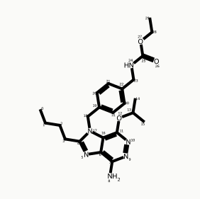 CCCCc1nc2c(N)nnc(OC(C)C)c2n1Cc1ccc(CNC(=O)OCC)cc1